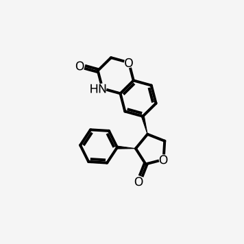 O=C1COc2ccc([C@H]3COC(=O)[C@H]3c3ccccc3)cc2N1